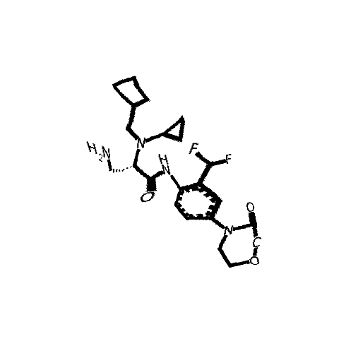 NC[C@@H](C(=O)Nc1ccc(N2CCOCC2=O)cc1C(F)F)N(CC1CCC1)C1CC1